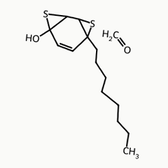 C=O.CCCCCCCCC12C=CC3(O)SC3C1S2